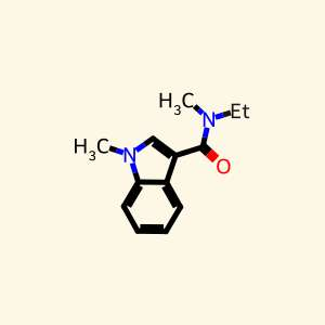 CCN(C)C(=O)c1cn(C)c2ccccc12